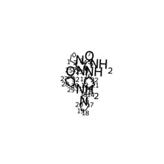 CCc1nc(C(N)=O)c(Nc2ccc(CCN3CCCC3)cc2)nc1Oc1cccc(N)c1